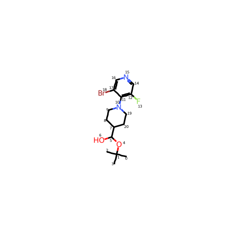 CC(C)(C)OC(O)C1CCN(c2c(F)cncc2Br)CC1